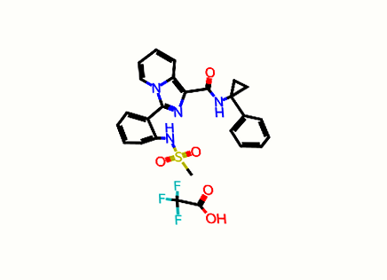 CS(=O)(=O)Nc1ccccc1-c1nc(C(=O)NC2(c3ccccc3)CC2)c2ccccn12.O=C(O)C(F)(F)F